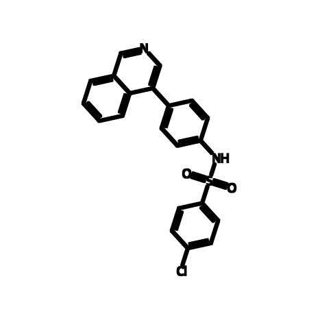 O=S(=O)(Nc1ccc(-c2cncc3ccccc23)cc1)c1ccc(Cl)cc1